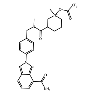 CN(Cc1ccc(-n2cc3cccc(C(N)=O)c3n2)cc1)C(=O)C1CCC[N+](C)(OC(=O)C(F)(F)F)C1